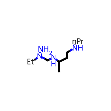 CCCNCCC(C)NCN(N)CC